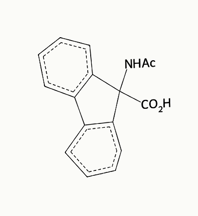 CC(=O)NC1(C(=O)O)c2ccccc2-c2ccccc21